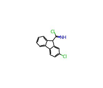 N=C(Cl)C1c2ccccc2-c2ccc(Cl)cc21